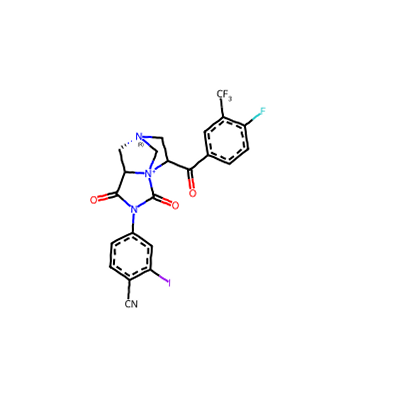 N#Cc1ccc(N2C(=O)C3C[N@]4CC(C(=O)c5ccc(F)c(C(F)(F)F)c5)[N+]3(C4)C2=O)cc1I